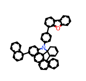 C1=CCC(c2ccccc2-c2ccccc2)(N(c2ccc(-c3cccc4ccccc34)cc2)c2ccc(-c3cccc4c3oc3ccccc34)cc2)C(c2ccccc2)=C1